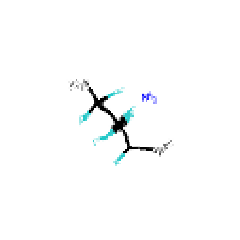 CCCCCCCCC(F)C(F)(F)C(F)(F)S(=O)(=O)O.N